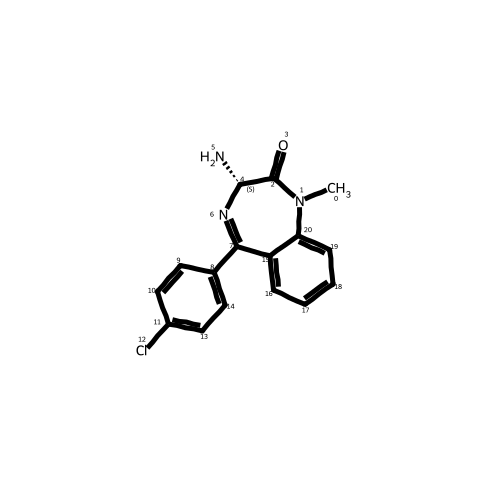 CN1C(=O)[C@@H](N)N=C(c2ccc(Cl)cc2)c2ccccc21